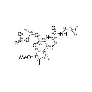 COC1=C(C)[C@@H](C)C(c2ccc(C(=O)NCC3CC3)nc2C(=O)OC(C)OC(=O)C(C)C)=C1